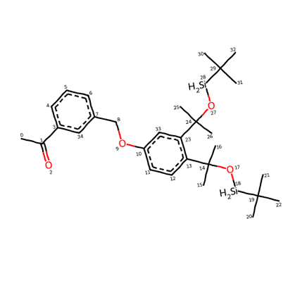 CC(=O)c1cccc(COc2ccc(C(C)(C)O[SiH2]C(C)(C)C)c(C(C)(C)O[SiH2]C(C)(C)C)c2)c1